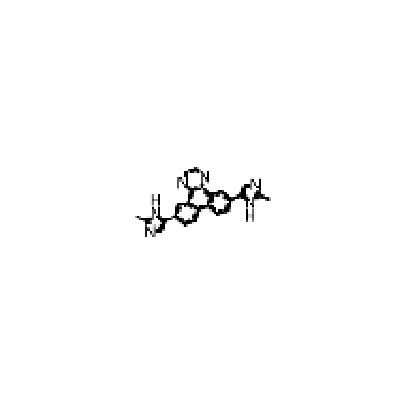 Cc1ncc(-c2ccc3c4ccc(-c5cnc(C)[nH]5)cc4c4nccnc4c3c2)[nH]1